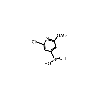 COc1cc(B(O)O)cc(Cl)n1